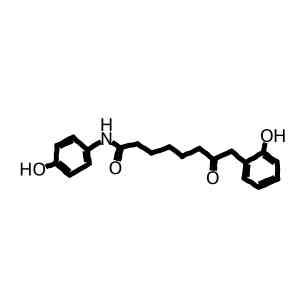 O=C(CCCCCC(=O)Nc1ccc(O)cc1)Cc1ccccc1O